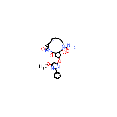 COc1cc(OC2CC3C(=O)NC4([C]=O)CC4/C=C/CCCCN(C(N)=O)C(=O)C3C2)nc(-c2ccccc2)n1